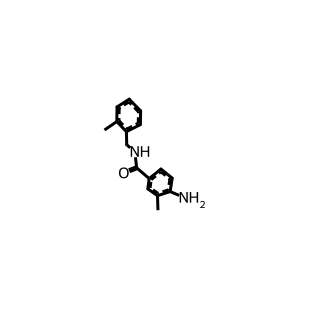 Cc1cc(C(=O)NCc2ccccc2C)ccc1N